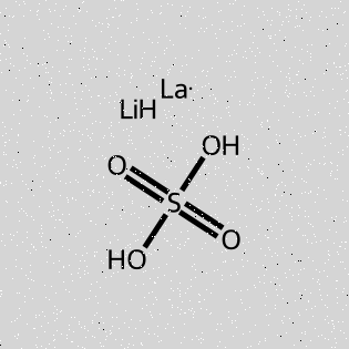 O=S(=O)(O)O.[La].[LiH]